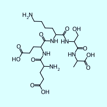 CC(NC(=O)C(CO)NC(=O)C(CCCCN)NC(=O)C(CCC(=O)O)NC(=O)C(N)CCC(=O)O)C(=O)O